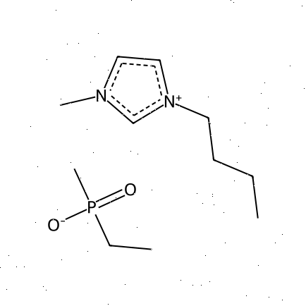 CCCC[n+]1ccn(C)c1.CCP(C)(=O)[O-]